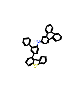 c1ccc(-c2cc(-c3cccc4sc5ccccc5c34)ccc2Nc2ccc3c4ccccc4c4ccccc4c3c2)cc1